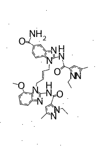 CCn1nc(C)cc1C(=O)Nc1nc2cc(C(N)=O)ccc2n1C/C=C/Cn1c(NC(=O)c2cc(C)nn2CC)nc2cccc(OC)c21